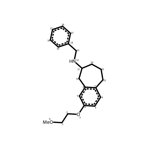 COCCOc1ccc2c(c1)CC(NCc1ccccc1)CCC2